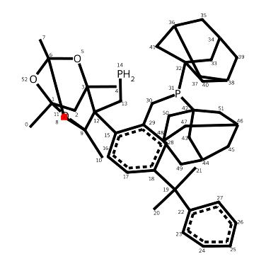 CC12CC3(C)OC(C)(CC(C)(O1)C3(CP)c1ccc(C(C)(C)c3ccccc3)cc1CP(C13CC4CC(CC(C4)C1)C3)C13CC4CC(CC(C4)C1)C3)O2